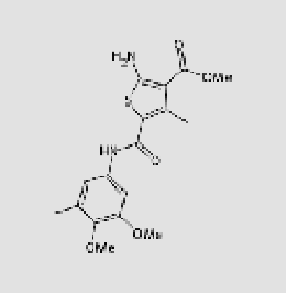 COC(=O)c1c(N)sc(C(=O)Nc2cc(C)c(OC)c(OC)c2)c1C